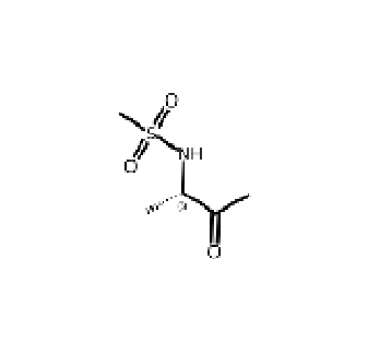 CC(=O)[C@H](C)NS(C)(=O)=O